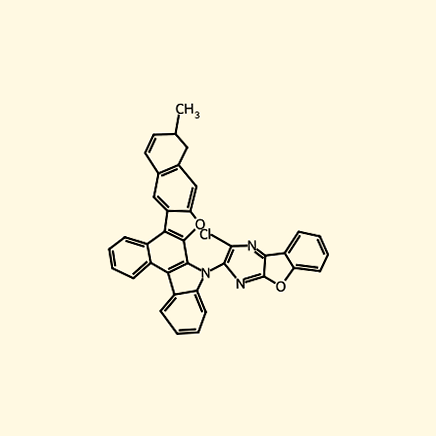 CC1C=Cc2cc3c(cc2C1)oc1c3c2ccccc2c2c3ccccc3n(-c3nc4oc5ccccc5c4nc3Cl)c12